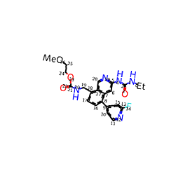 CCNC(=O)Nc1cc2c(-c3ccnc(F)c3)ccc(CNC(=O)OCCOC)c2cn1